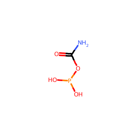 NC(=O)OP(O)O